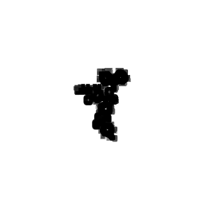 Cc1ccc(S(=O)(=O)Oc2ccc(C(C(=O)OCC3c4ccccc4-c4ccccc43)C(CN)CC(=O)OC(C)(C)C)cc2)cc1